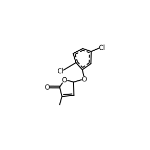 CC1=CC(Oc2cc(Cl)ccc2Cl)OC1=O